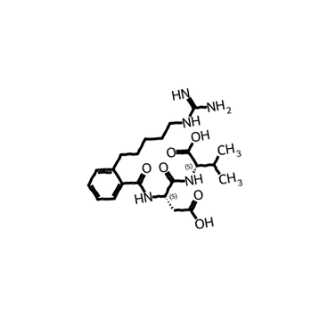 CC(C)[C@H](NC(=O)[C@H](CC(=O)O)NC(=O)c1ccccc1CCCCCNC(=N)N)C(=O)O